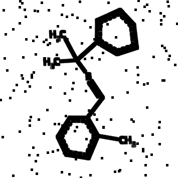 Cc1ccccc1C=BC(C)(C)c1ccccc1